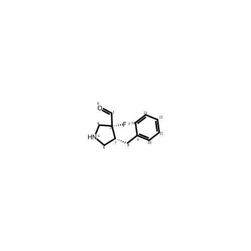 O=C[C@]1(F)CNC[C@H]1Cc1ccccc1